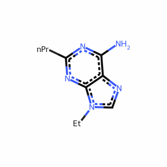 CCCc1nc(N)c2ncn(CC)c2n1